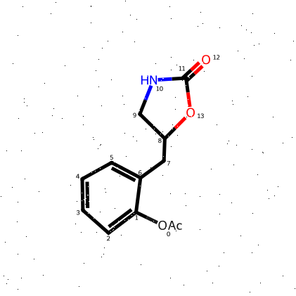 CC(=O)Oc1ccccc1CC1CNC(=O)O1